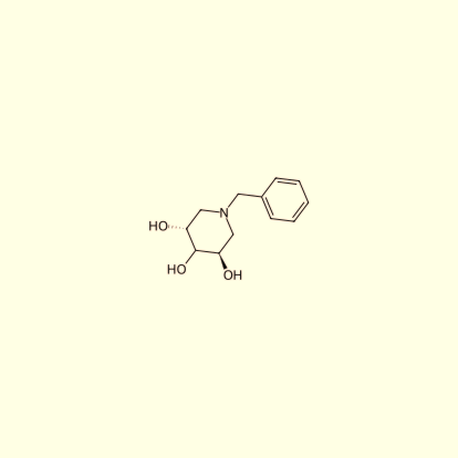 OC1[C@H](O)CN(Cc2ccccc2)C[C@H]1O